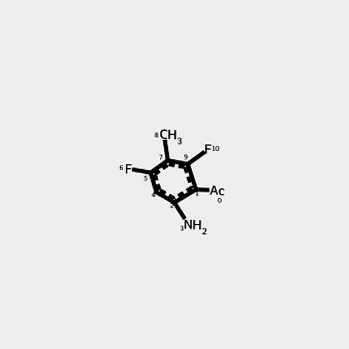 CC(=O)c1c(N)cc(F)c(C)c1F